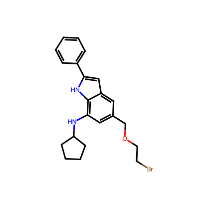 BrCCOCc1cc(NC2CCCC2)c2[nH]c(-c3ccccc3)cc2c1